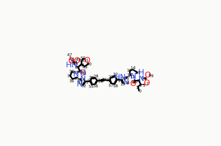 CC[C@H](C)[C@H](NC(=O)OC)C(=O)N1CCC[C@H]1c1ncc(-c2ccc(C#Cc3ccc(-c4cnc([C@@H]5CCCN5C(=O)[C@@H](NC(=O)OC)C5CCOCC5)[nH]4)cc3)cc2)[nH]1